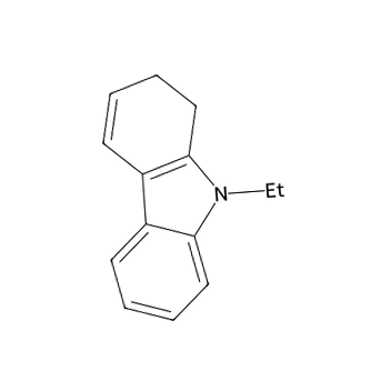 CCn1c2c(c3ccccc31)C=CCC2